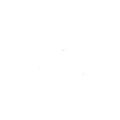 COc1ccc(C(=O)Nc2c(Cl)cncc2Cl)c2c3cc([N+](=O)[O-])ccc3n(C)c12